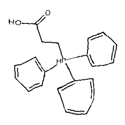 O=C(O)CC[PH](c1ccccc1)(c1ccccc1)c1ccccc1